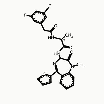 C[C@H](NC(=O)Cc1cc(F)cc(F)c1)C(=O)NC1N=C(c2cccs2)c2ccccc2N(C)C1=O